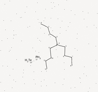 CCCCP(CCCC)CCCC.P.[TeH2]